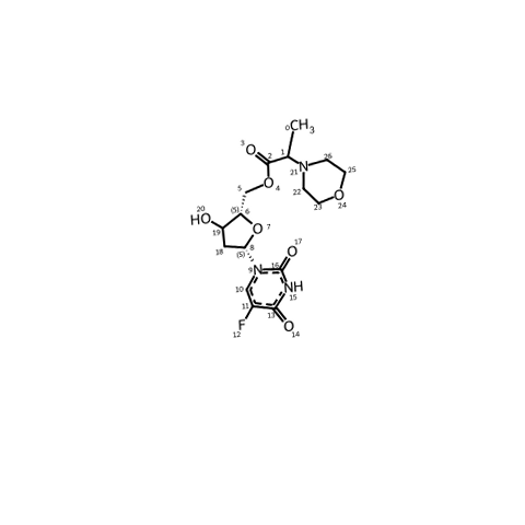 CC(C(=O)OC[C@@H]1O[C@H](n2cc(F)c(=O)[nH]c2=O)CC1O)N1CCOCC1